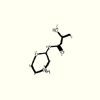 CC(O)C(=O)NC1CNCCO1